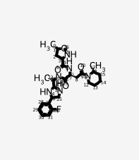 CC1CC(C(=O)N[C@@H](CC(=O)N2CCCC[C@@H]2C)C(=O)N[C@@H](C)C2NCC(c3ccccc3F)N2)NO1